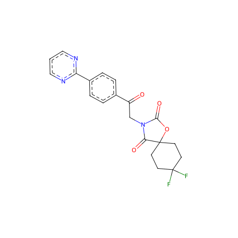 O=C(CN1C(=O)OC2(CCC(F)(F)CC2)C1=O)c1ccc(-c2ncccn2)cc1